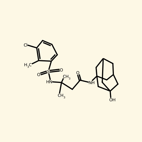 Cc1c(Cl)cccc1S(=O)(=O)NC(C)(C)CC(=O)NC12CC3CC(CC(O)(C3)C1)C2